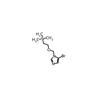 C[Si](C)(C)CCOCn1cncc1Br